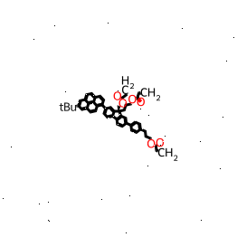 C=CC(=O)OCCCc1ccc(-c2ccc3c(c2)C(CCCOC(=O)C=C)(COC(=O)C=C)c2cc(-c4ccc5ccc6cc(C(C)(C)C)cc7ccc4c5c67)ccc2-3)cc1